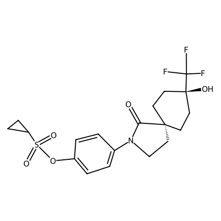 O=C1N(c2ccc(OS(=O)(=O)C3CC3)cc2)CC[C@]12CC[C@@](O)(C(F)(F)F)CC2